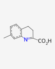 Cc1ccc2c(c1)N=C(C(=O)O)CC2